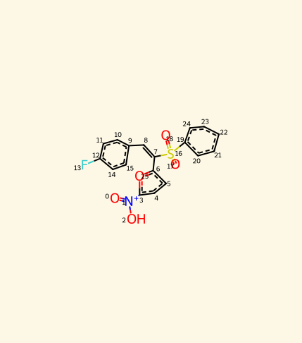 O=[N+](O)c1ccc(/C(=C\c2ccc(F)cc2)S(=O)(=O)c2ccccc2)o1